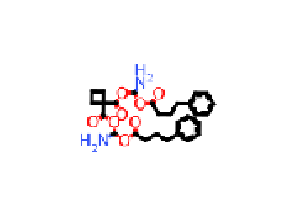 NC(OC(=O)CCCc1ccccc1)OC(=O)C1(C(=O)OC(N)OC(=O)CCCc2ccccc2)CCC1